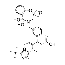 Cc1ccc(C(CC(=O)O)c2ccn3c(C(F)(F)F)nnc3c2C)cc1CN1CC2(COC2)Oc2ccccc2S1(O)O